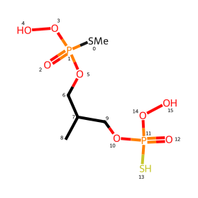 CSP(=O)(OO)OCC(C)COP(=O)(S)OO